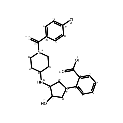 O=C(O)c1ccccc1N1CC(O)C(NC2CCN(C(=O)c3ccc(Cl)cc3)CC2)C1